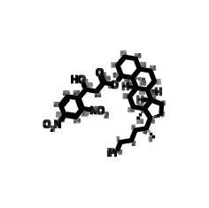 CC(C)CCC[C@@H](C)[C@H]1CC[C@H]2[C@@H]3CCC4CCCC(OC(=O)CC(O)c5ccc([N+](=O)[O-])cc5[N+](=O)[O-])[C@]4(C)[C@H]3CC[C@]12C